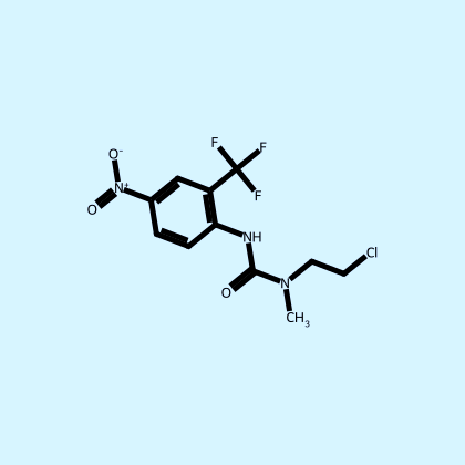 CN(CCCl)C(=O)Nc1ccc([N+](=O)[O-])cc1C(F)(F)F